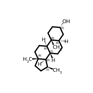 C[C@H]1CC[C@]2(C)CC[C@@H]3[C@H](CC[C@@H]4C[C@@H](O)CC[C@]43C)[C@@H]12